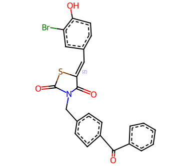 O=C(c1ccccc1)c1ccc(CN2C(=O)S/C(=C\c3ccc(O)c(Br)c3)C2=O)cc1